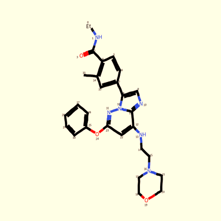 CCNC(=O)c1ccc(-c2cnc3c(NCCN4CCOCC4)cc(Oc4ccccc4)nn23)cc1C